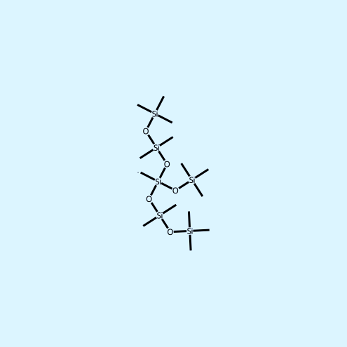 [CH2][Si](O[Si](C)(C)C)(O[Si](C)(C)O[Si](C)(C)C)O[Si](C)(C)O[Si](C)(C)C